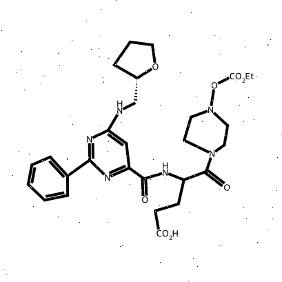 CCOC(=O)ON1CCN(C(=O)C(CCC(=O)O)NC(=O)c2cc(NC[C@@H]3CCCO3)nc(-c3ccccc3)n2)CC1